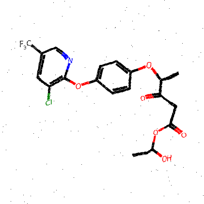 CC(O)OC(=O)CC(=O)C(C)Oc1ccc(Oc2ncc(C(F)(F)F)cc2Cl)cc1